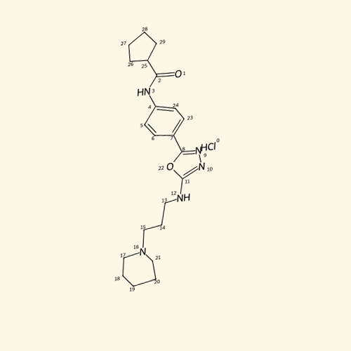 Cl.O=C(Nc1ccc(-c2nnc(NCCCN3CCCCC3)o2)cc1)C1CCCC1